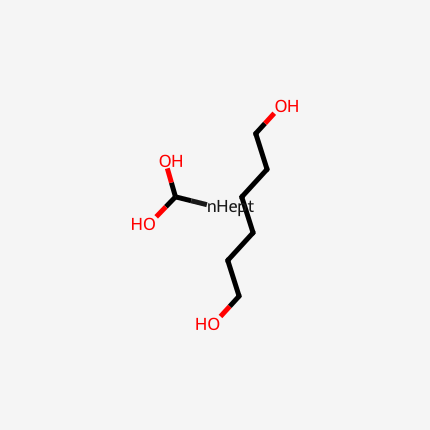 CCCCCCCC(O)O.OCCCCCCO